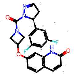 O=C(N1CC(Oc2ccc3ccc(=O)[nH]c3c2)C1)N1N=CC[C@H]1c1cc(F)cc(F)c1